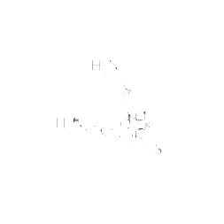 CCSCC[Si]1(C)O[Si](C)(CCSCCN)O[Si](C)(CCSCCN)O1